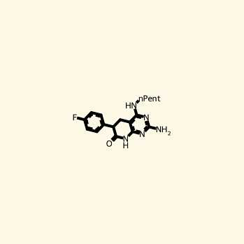 CCCCCNc1nc(N)nc2c1CC(c1ccc(F)cc1)C(=O)N2